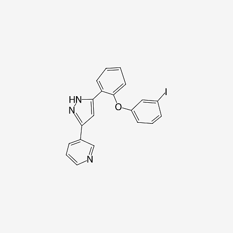 Ic1cccc(Oc2ccccc2-c2cc(-c3cccnc3)n[nH]2)c1